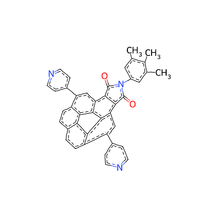 Cc1cc(-n2c(=O)c3c4cc(-c5ccncc5)c5ccc6ccc7c(-c8ccncc8)cc(c3c2=O)c2c7c6c5c42)cc(C)c1C